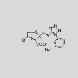 CC1(CSc2nnnn2-c2ccccc2)SC2CC(=O)N2C1C(=O)[O-].[Na+]